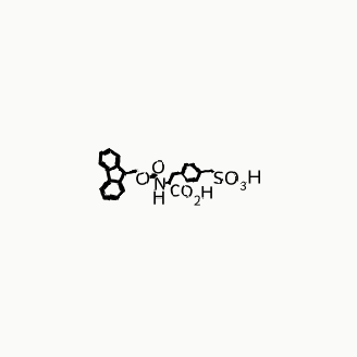 O=C(N[C@H](Cc1ccc(CS(=O)(=O)O)cc1)C(=O)O)OCC1c2ccccc2-c2ccccc21